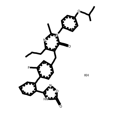 CCCc1nc(C)n(-c2ccc(OC(C)C)cc2)c(=O)c1Cc1ccc(-c2ccccc2-c2noc(=O)[nH]2)c(F)c1.[KH]